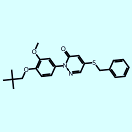 COc1cc(-n2ncc(SCc3ccccc3)cc2=O)ccc1OCC(C)(C)C